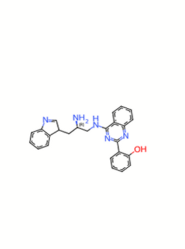 N[C@@H](CNc1nc(-c2ccccc2O)nc2ccccc12)CC1C=Nc2ccccc21